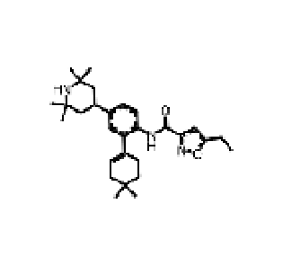 CCc1cc(C(=O)Nc2ccc(C3CC(C)(C)NC(C)(C)C3)cc2C2=CCC(C)(C)CC2)no1